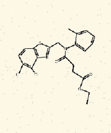 CCOC(=O)CCC(=O)N(Cc1nc2c(Cl)c(Cl)ccc2s1)c1ccccc1C